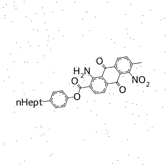 CCCCCCCc1ccc(OC(=O)c2ccc3c(c2N)C(=O)c2ccc(C)c([N+](=O)[O-])c2C3=O)cc1